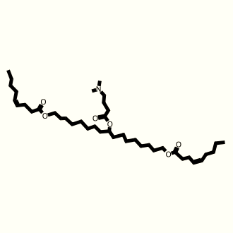 CCCC/C=C\CCC(=O)OCCCCCCCCC(CCCCCCCCOC(=O)CC/C=C\CCCC)OC(=O)CCCN(C)C